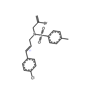 C=C(Br)CN(C/C=C/c1ccc(Cl)cc1)S(=O)(=O)c1ccc(C)cc1